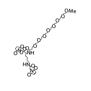 COCCOCCOCCOCCOCCOCCOCCOCCC(=O)NC(CCCCNC(=O)CN1C(=O)C=CC1=O)C(=O)ON1C(=O)CCC1=O